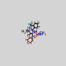 CNC(=O)OC(C1CCOCC1)C(NC(=O)c1ccc(F)cc1C(F)(F)F)C(=O)NC